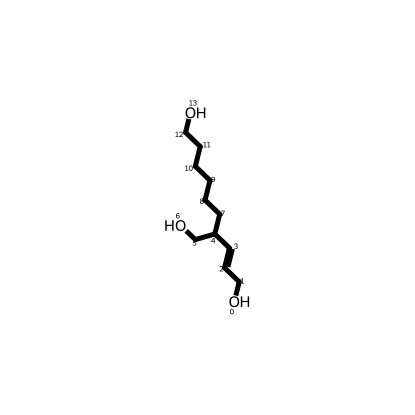 OCC=CC(CO)CCCCCCO